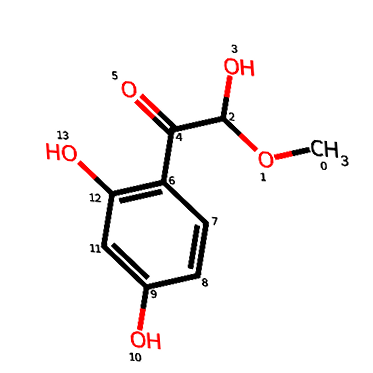 COC(O)C(=O)c1ccc(O)cc1O